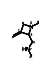 C=C1CN(C)C1CNC